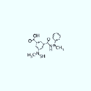 C[C@@H](NC(=O)c1cc(C(=O)O)cc(N(C)S)c1)c1ccccc1